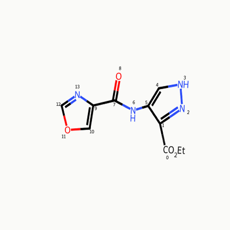 CCOC(=O)c1n[nH]cc1NC(=O)c1cocn1